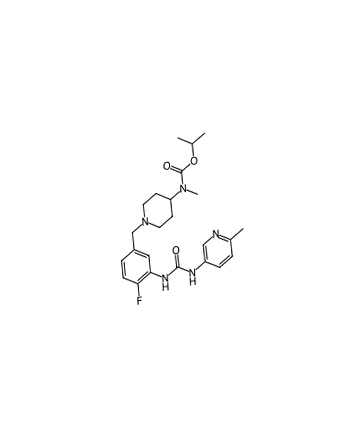 Cc1ccc(NC(=O)Nc2cc(CN3CCC(N(C)C(=O)OC(C)C)CC3)ccc2F)cn1